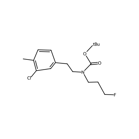 Cc1ccc(CCN(CCCF)C(=O)OC(C)(C)C)cc1Cl